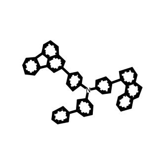 c1ccc(-c2cccc(N(c3ccc(-c4cc5c6c(cccc6c4)-c4ccccc4-5)cc3)c3ccc(-c4cccc5ccc6ccccc6c45)cc3)c2)cc1